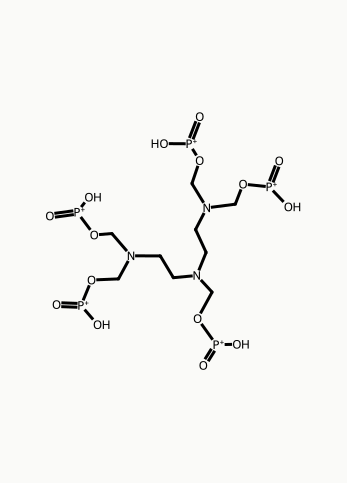 O=[P+](O)OCN(CCN(CO[P+](=O)O)CO[P+](=O)O)CCN(CO[P+](=O)O)CO[P+](=O)O